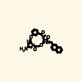 CN1C(=O)c2cccc(c2)OC[C@@H]2C[C@H](N)CN2C(=O)COC[C@H]1C(=O)NCc1ccc2ccccc2c1